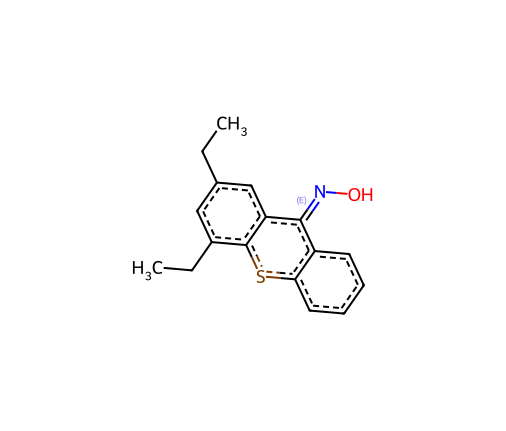 CCc1cc(CC)c2sc3ccccc3/c(=N\O)c2c1